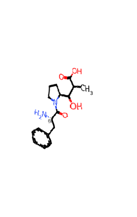 CC(C(=O)O)C(O)C1CCCN1C(=O)[C@@H](N)Cc1ccccc1